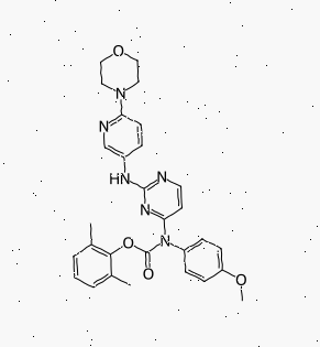 COc1ccc(N(C(=O)Oc2c(C)cccc2C)c2ccnc(Nc3ccc(N4CCOCC4)nc3)n2)cc1